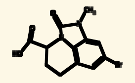 Cn1c(=O)n2c3c(cc(Br)cc31)CCC2C(=O)O